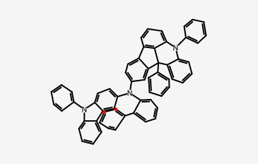 c1ccc(-c2ccccc2N(c2ccc3c(c2)C2(c4ccccc4)c4ccccc4N(c4ccccc4)c4cccc-3c42)c2ccc3c(c2)c2ccccc2n3-c2ccccc2)cc1